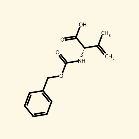 C=C(C)[C@H](NC(=O)OCc1ccccc1)C(=O)O